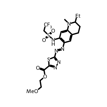 CCC1CCc2cc(N=Nc3nnc(C(=O)OCCOC)s3)c(NS(=O)(=O)CC(F)(F)F)cc2N1C